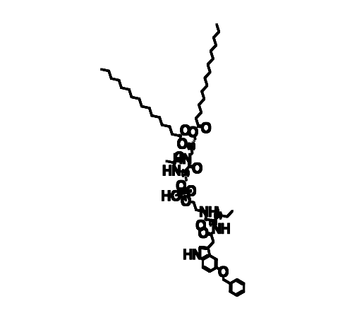 CCCCCCCCCCCCCCCC(=O)OC[C@H](CNC(=O)[C@H](COP(=O)(O)OCCNC(=O)[C@@H](NC(=O)Cc1c[nH]c2ccc(OCc3ccccc3)cc12)[C@@H](C)CC)NC(C)=O)OC(=O)CCCCCCCCCCCCCCC